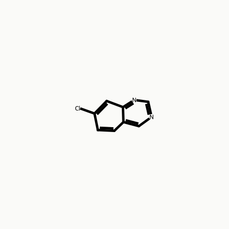 Clc1ccc2cncnc2c1